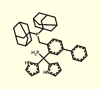 PC(c1ccc[nH]1)(c1ccc[nH]1)c1cc(-c2ccccc2)ccc1CP(C12CC3CC(CC(C3)C1)C2)C12CC3CC(CC(C3)C1)C2